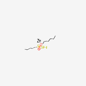 CCCCCCOP(=O)(S)SCCCCCC.[Zn]